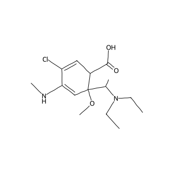 CCN(CC)C(C)C1(OC)C=C(NC)C(Cl)=CC1C(=O)O